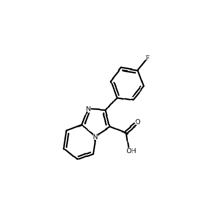 O=C(O)c1c(-c2ccc(F)cc2)nc2ccccn12